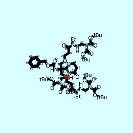 CCN(NCN(C(=O)OC(C)(C)C)C(=O)OC(C)(C)C)C(=O)CCOCC(COCCC(=O)N(CC)NCN(C(=O)OC(C)(C)C)C(=O)OC(C)(C)C)(COCCC(=O)N(CC)NCN(C(=O)OC(C)(C)C)C(=O)OC(C)(C)C)NC(=O)OCc1ccccc1